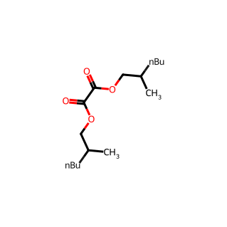 CCCCC(C)COC(=O)C(=O)OCC(C)CCCC